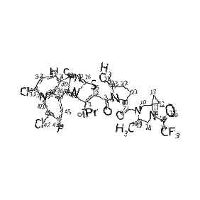 CC(C)C1=C(C(=O)N2[C@@H](C(=O)N3CC4(CC4)N(C(=O)C(F)(F)F)C[C@@H]3C)CC[C@@H]2C)SC2=N[C@@](C)(c3ccc(Cl)nc3)[C@@H](c3ccc(Cl)c(F)c3)N21